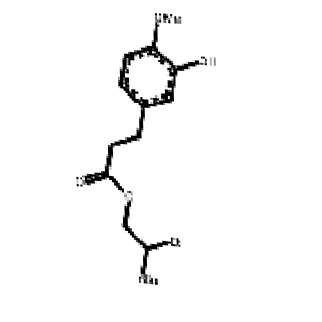 CCCCC(CC)COC(=O)CCc1ccc(OC)c(O)c1